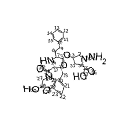 NN1C[C@H](OC(=O)[C@H](CCc2ccccc2)N[C@@H]2CCc3ccccc3N(CC(=O)O)C2=O)C[C@H]1C(=O)O